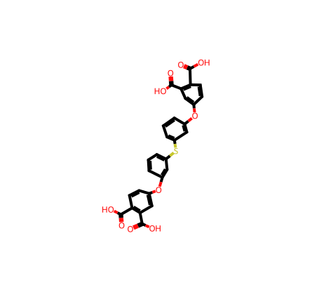 O=C(O)c1ccc(Oc2cccc(Sc3cccc(Oc4ccc(C(=O)O)c(C(=O)O)c4)c3)c2)cc1C(=O)O